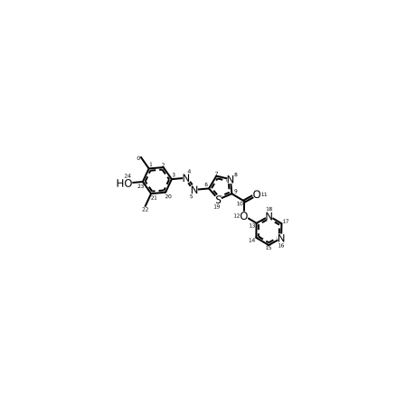 Cc1cc(/N=N/c2cnc(C(=O)Oc3ccncn3)s2)cc(C)c1O